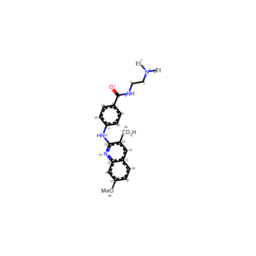 CCN(CC)CCNC(=O)c1ccc(Nc2nc3cc(OC)ccc3cc2C(=O)O)cc1